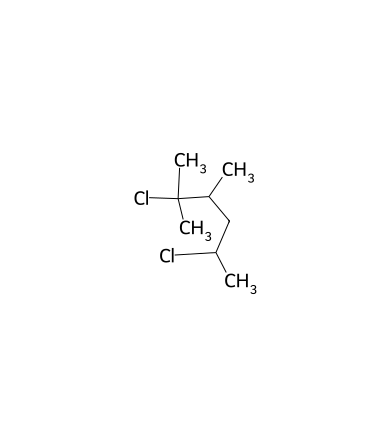 CC(Cl)CC(C)C(C)(C)Cl